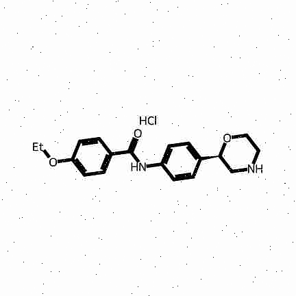 CCOc1ccc(C(=O)Nc2ccc([C@@H]3CNCCO3)cc2)cc1.Cl